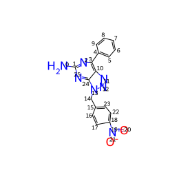 Nc1nc(-c2ccccc2)c2nnn(Cc3ccc([N+](=O)[O-])cc3)c2n1